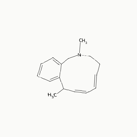 CC1/C=C\C=C/CCN(C)Cc2ccccc21